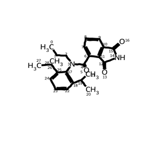 CCCN(C(=O)c1cccc2c1C(=O)NC2=O)c1c(C(C)C)cccc1C(C)C